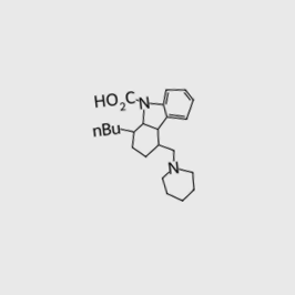 CCCCC1CCC(CN2CCCCC2)C2c3ccccc3N(C(=O)O)C12